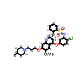 COc1cc2c(Oc3ccc(Cl)c(NS(=O)(=O)c4ccccc4C(F)(F)F)c3)ccnc2cc1OCCCN1CCC(C)CC1